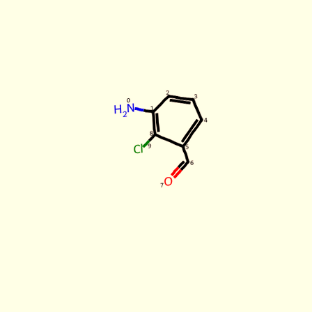 Nc1cccc(C=O)c1Cl